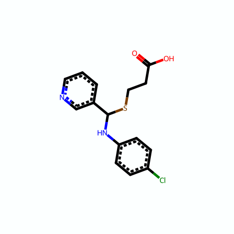 O=C(O)CCSC(Nc1ccc(Cl)cc1)c1cccnc1